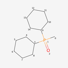 CP(=O)(C1CCCCC1)C1CCCCC1